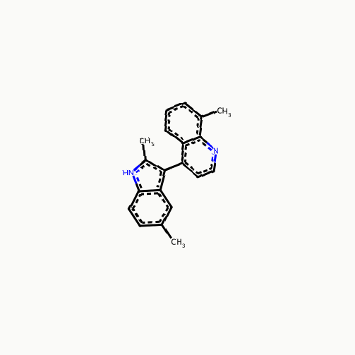 Cc1ccc2[nH]c(C)c(-c3ccnc4c(C)cccc34)c2c1